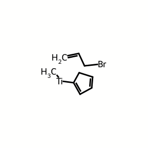 C=CCBr.[CH3][Ti][C]1=CC=CC1